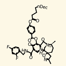 CCCCCCCCCCCCCC(=O)Oc1ccc(C(=O)Oc2c3n(cc(C(=O)NCc4ccc(F)cc4F)c2=O)[C@@H]2CN(C3=O)[C@@H](C)CC[C@]23CC(C)=NO3)cc1